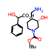 CC(C)(C)OC(=O)N1CC[C@@H](CN)[C@H](O)C1.O=C(O)C(O)c1ccccc1